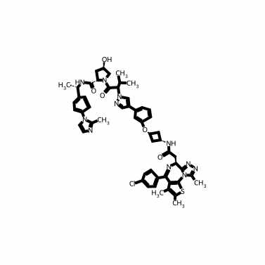 Cc1sc2c(c1C)C(c1ccc(Cl)cc1)=N[C@@H](CC(=O)N[C@H]1C[C@@H](Oc3cccc(-c4cnn(C(C(=O)N5C[C@H](O)C[C@H]5C(=O)N[C@@H](C)c5ccc(-n6ccnc6C)cc5)C(C)C)c4)c3)C1)c1nnc(C)n1-2